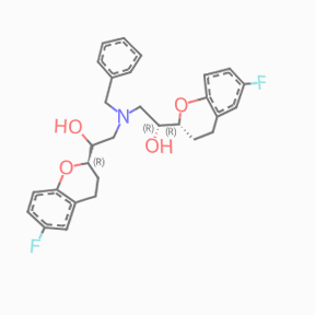 OC(CN(Cc1ccccc1)C[C@@H](O)[C@H]1CCc2cc(F)ccc2O1)[C@H]1CCc2cc(F)ccc2O1